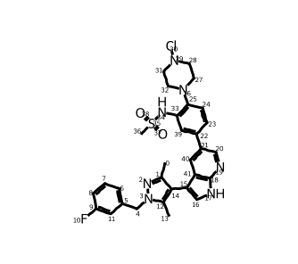 Cc1nn(Cc2cccc(F)c2)c(C)c1-c1c[nH]c2ncc(-c3ccc(N4CCN(Cl)CC4)c(NS(C)(=O)=O)c3)cc12